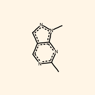 Cc1ncc2cnn(C)c2n1